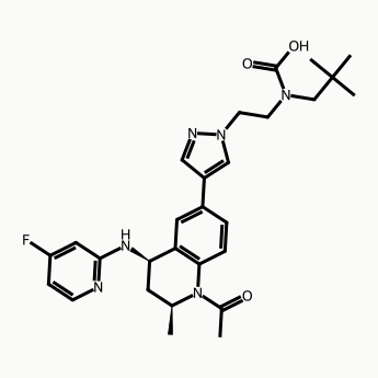 CC(=O)N1c2ccc(-c3cnn(CCN(CC(C)(C)C)C(=O)O)c3)cc2[C@H](Nc2cc(F)ccn2)C[C@@H]1C